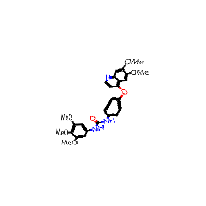 COc1cc2nccc(Oc3ccc(NC(=O)Nc4cc(OC)c(OC)c(OC)c4)cc3)c2cc1OC